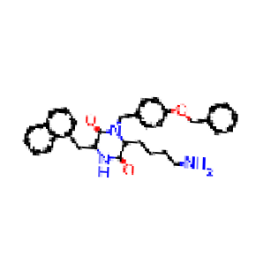 NCCCCC1C(=O)NC(Cc2cccc3ccccc23)C(=O)N1Cc1ccc(OCc2ccccc2)cc1